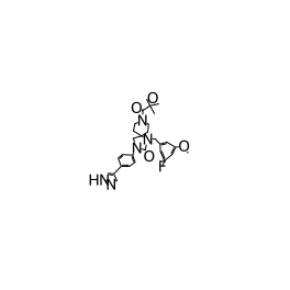 COc1cc(F)cc(CN2C(=O)N(c3ccc(-c4cn[nH]c4)cc3)CC23CCN(C(=O)C2(C)COC2)CC3)c1